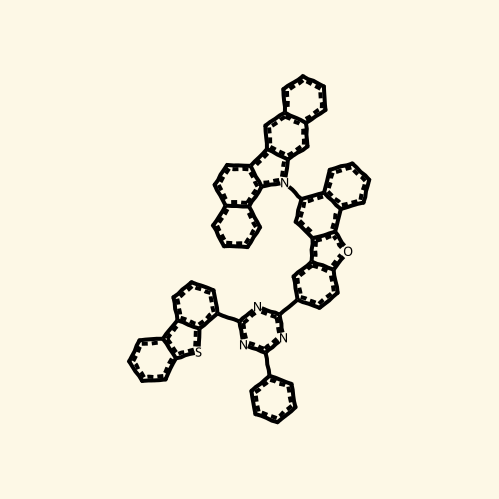 c1ccc(-c2nc(-c3ccc4oc5c6ccccc6c(-n6c7cc8ccccc8cc7c7ccc8ccccc8c76)cc5c4c3)nc(-c3cccc4c3sc3ccccc34)n2)cc1